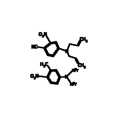 C=CCN(CC=C)c1ccc(C#N)c([N+](=O)[O-])c1.CCCN(CCC)c1ccc([N+](=O)[O-])c(C)c1